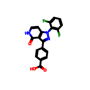 O=C(O)c1ccc(-c2nn(-c3c(F)cccc3F)c3cc[nH]c(=O)c23)cc1